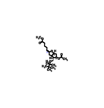 COC(=O)CCC/C=C1/C[C@@H]2[C@@H](CO[Si](C)(C)C(C)(C)C)[C@H](OC(C)=O)C[C@@H]2O1